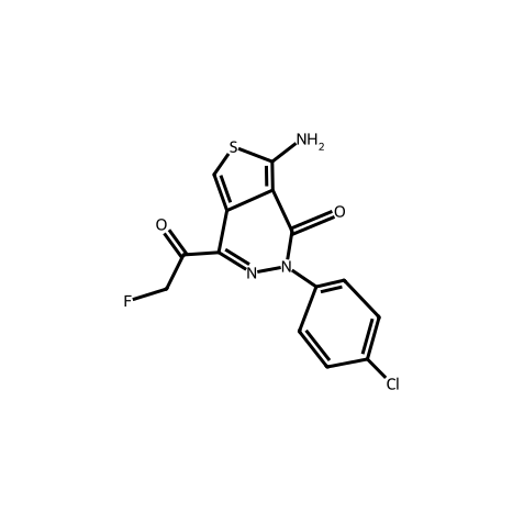 Nc1scc2c(C(=O)CF)nn(-c3ccc(Cl)cc3)c(=O)c12